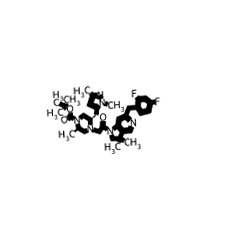 Cc1cc(C[C@H]2CN(C(=O)OC(C)(C)C)[C@H](C)CN2CC(=O)N2CC(C)(C)c3cnc(Cc4ccc(F)cc4F)cc32)n(C)n1